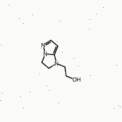 OCCN1CCn2nccc21